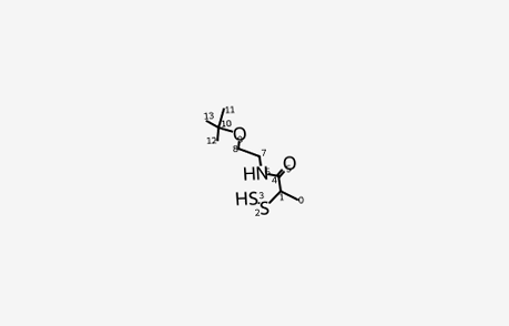 CC(SS)C(=O)NCCOC(C)(C)C